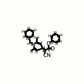 CC1=CC(=C(C#N)C(=O)Oc2ccccc2)C=C(C)N1Cc1ccccc1